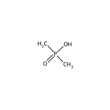 [CH2]P(C)(=O)O